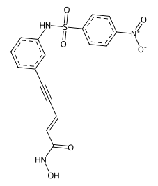 O=C(/C=C/C#Cc1cccc(NS(=O)(=O)c2ccc([N+](=O)[O-])cc2)c1)NO